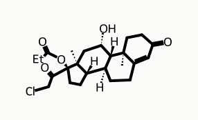 CCC(=O)O[C@]1(C(=O)CCl)CC[C@H]2[C@@H]3CCC4=CC(=O)CC[C@]4(C)[C@H]3[C@@H](O)C[C@@]21C